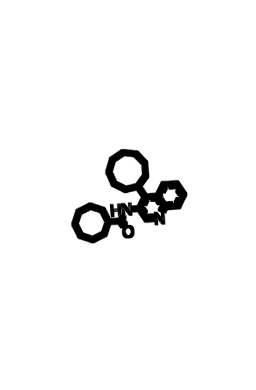 O=C(Nc1cnc2ccccc2c1C1CCCCCCCC1)C1CCCCCCC1